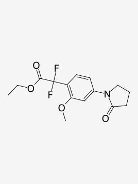 CCOC(=O)C(F)(F)c1ccc(N2CCCC2=O)cc1OC